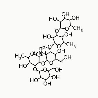 CCCO[C@@H]1OC(C)[C@H](O)C(O[C@H]2OC(CO)[C@@H](O)C(O)C2O)[C@@H]1O[C@@H]1OC(CO)[C@@H](O)[C@H](O[C@@H]2OC(C)[C@H](O)C(O[C@@H]3OC(C)[C@H](O)C(O)[C@@H]3O)[C@@H]2O)C1NC(C)=O